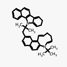 CC(C)(C)N1/C=C/CC/C=C/c2c1ccc1ccc(CC(C)(C)n3c4c(c5ccc6ccccc6c53)=CCCC=4)cc21